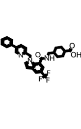 O=C(NCC1CCC(C(=O)O)CC1)c1cc(C(F)(F)F)cc2ccn(Cc3ccc(-c4ccccc4)cn3)c12